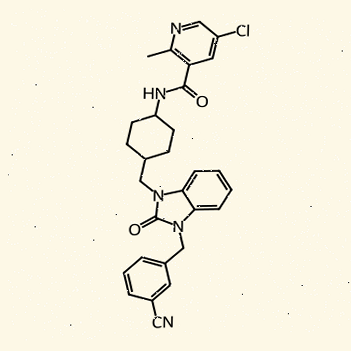 Cc1ncc(Cl)cc1C(=O)NC1CCC(Cn2c(=O)n(Cc3cccc(C#N)c3)c3ccccc32)CC1